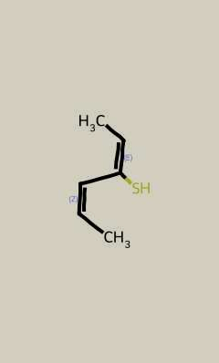 C/C=C\C(S)=C/C